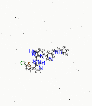 Clc1ccc(-c2ccnc3[nH]c(-c4n[nH]c5ccc(-c6cncc(CNCC7CCCC7)c6)nc45)nc23)s1